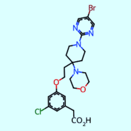 O=C(O)Cc1cc(Cl)cc(OCCC2(N3CCOCC3)CCN(c3ncc(Br)cn3)CC2)c1